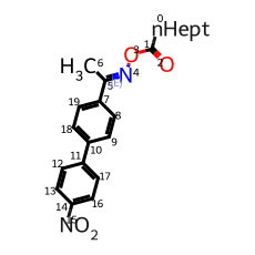 CCCCCCCC(=O)O/N=C(\C)c1ccc(-c2ccc([N+](=O)[O-])cc2)cc1